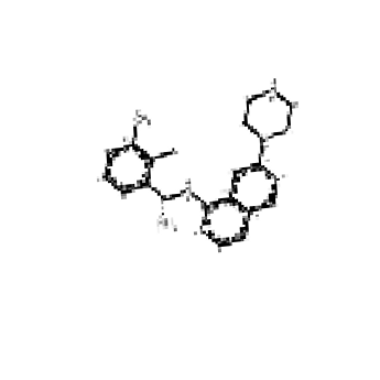 Cc1c([C@@H](N)Nc2nccc3cnc(N4CCNCC4)cc23)cccc1C(F)(F)F